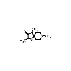 CC1SC2(CCN(C)CC2)N(C)C1=O